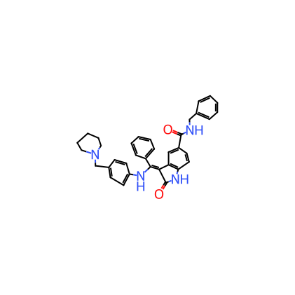 O=C1Nc2ccc(C(=O)NCc3ccccc3)cc2/C1=C(/Nc1ccc(CN2CCCCC2)cc1)c1ccccc1